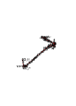 CCCCCCCCCCCN(C(=O)CCCCCCCCCC(=O)O)C(CCC(=O)NCCOCCOCCOCCOCCOCCOCCOCCOCCOCCOCCOCCOCCC(=O)NCCC(=O)OC(C)(C)c1ccc(C(=O)Nc2cc(F)cc(-c3ncnc4[nH]c(-c5ccc(CCN6CCC7(CC6)CCN(C(=O)c6ccc(OC)c(N8CCC(=O)NC8=O)c6)CC7)cc5)cc34)c2C)c(F)c1)C(=O)O